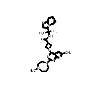 Cc1cc2c(N3CC(C(=O)NC(C)(C)c4cnc5ccccn45)C3)nc(N3CCCN(C)CC3)nc2s1